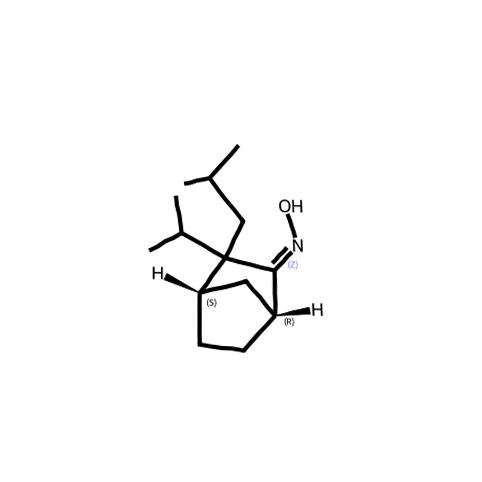 CC(C)CC1(C(C)C)/C(=N\O)[C@@H]2CC[C@H]1C2